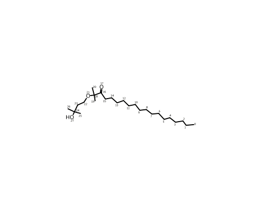 CCCCCCCCCCCCCCCCC(=O)C(C)(C)OCCC(C)(C)O